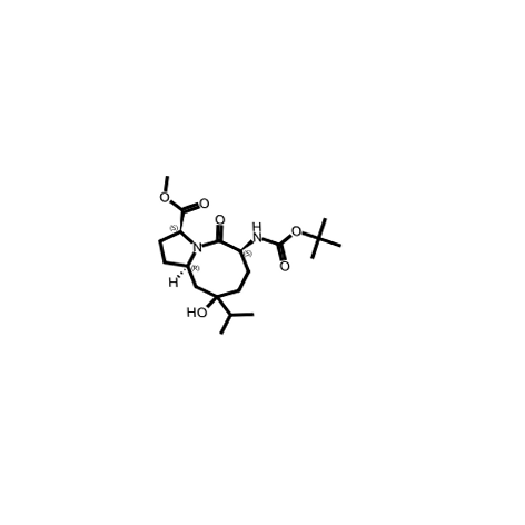 COC(=O)[C@@H]1CC[C@@H]2CC(O)(C(C)C)CC[C@H](NC(=O)OC(C)(C)C)C(=O)N21